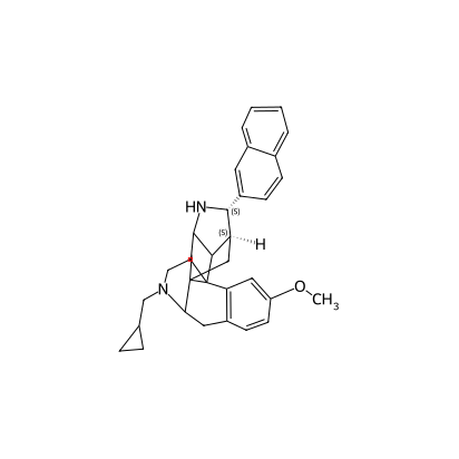 COc1ccc2c(c1)C13CCN(CC4CC4)C(C2)C12CCC1N[C@H](c4ccc5ccccc5c4)[C@@H](C2)C13